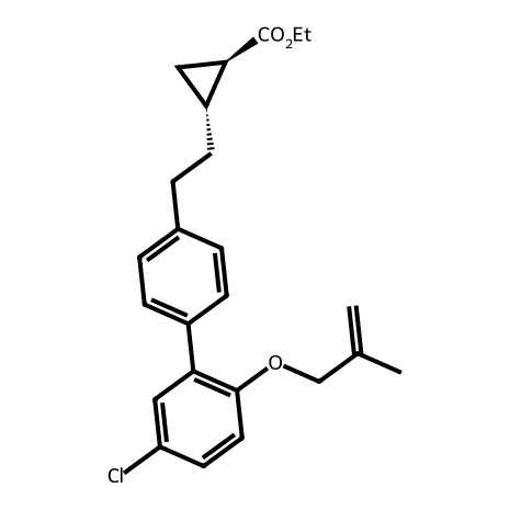 C=C(C)COc1ccc(Cl)cc1-c1ccc(CC[C@@H]2C[C@H]2C(=O)OCC)cc1